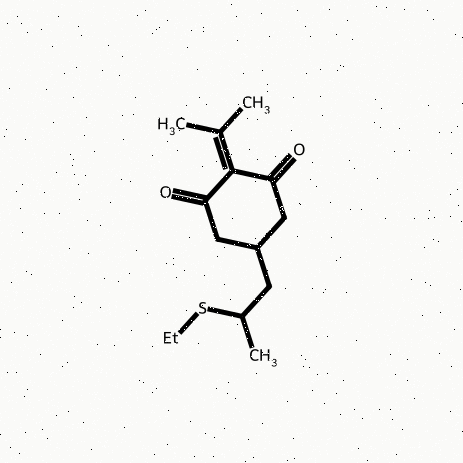 CCSC(C)CC1CC(=O)C(=C(C)C)C(=O)C1